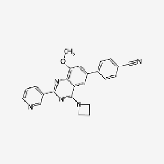 COc1cc(-c2ccc(C#N)cc2)cc2c(N3CCC3)nc(-c3cccnc3)nc12